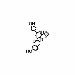 O=c1c(Cc2ccc(O)cc2)nc2c(-c3cccs3)[nH]c(-c3ccc(O)cc3)cn1-2